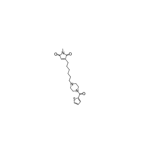 CN1C(=O)C=C(CCCCCCN2CCN(C(=O)c3cccs3)CC2)C1=O